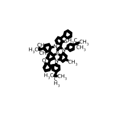 Cc1cc2c3c(c1)N(c1ccc(C(C)(C)C)cc1)c1c(n(-c4ccc(C(C)(C)C)cc4)c4ccc5c6ccccc6sc5c14)B3c1ccc3oc4ccccc4c3c1N2c1ccc(C(C)(C)C)cc1